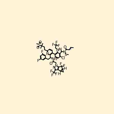 C/C=C/C(=O)N(SC)c1nn(CC(F)(F)F)c2c(-c3ccc(CCC(C)(C)S(C)(=O)=O)nc3C(Cc3cc(F)cc(F)c3)NC(=O)Cn3nc(C(F)(F)F)c4c3C(F)(F)[C@@H]3C[C@H]43)ccc(Cl)c12